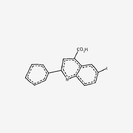 O=C(O)c1cc(-c2ccccc2)nc2ccc(I)cc12